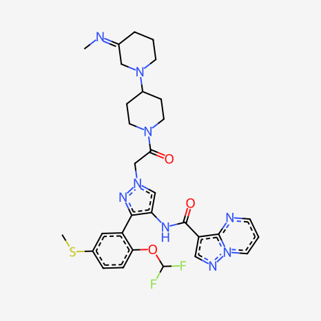 C/N=C1/CCCN(C2CCN(C(=O)Cn3cc(NC(=O)c4cnn5cccnc45)c(-c4cc(SC)ccc4OC(F)F)n3)CC2)C1